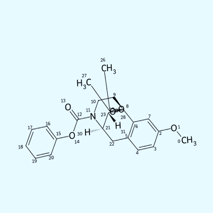 COc1ccc2c(c1)[C@]13CCN(C(=O)Oc4ccccc4)[C@H](C2)[C@@H]1OC(C)(C)OC3